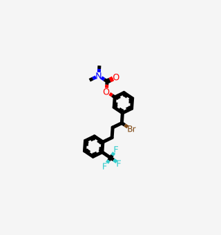 CN(C)C(=O)Oc1cccc(C(Br)CCc2ccccc2C(F)(F)F)c1